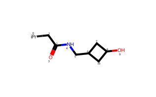 CC(C)CC(=O)NCC1CC(O)C1